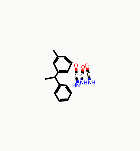 Cc1cccc(C(C)c2ccccc2)c1.N=C=O.N=C=O.N=C=O